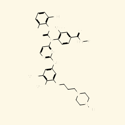 CCC(C)NC(=O)c1ccc(N(C(=O)Oc2c(C)cccc2C)c2ccnc(Nc3cc(OC)c(OC)c(OCCCN4CCN(C)CC4)c3)n2)c(OC)c1